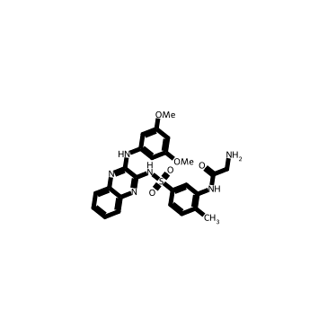 COc1cc(Nc2nc3ccccc3nc2NS(=O)(=O)c2ccc(C)c(NC(=O)CN)c2)cc(OC)c1